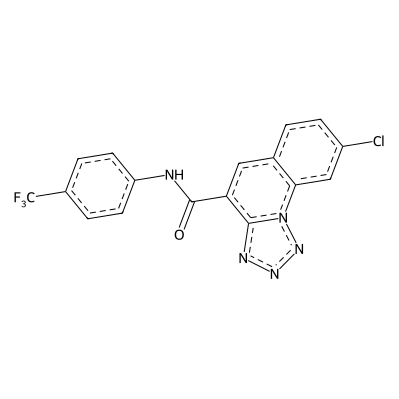 O=C(Nc1ccc(C(F)(F)F)cc1)c1cc2ccc(Cl)cc2n2nnnc12